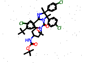 CCOc1cc(C(C)(C)C)c(Cl)cc1C1=NC(C)(c2ccc(Cl)cc2)C(C)(c2ccc(Cl)cc2)N1C(=O)N1CCC(NC(=O)OC(C)(C)C)CC1